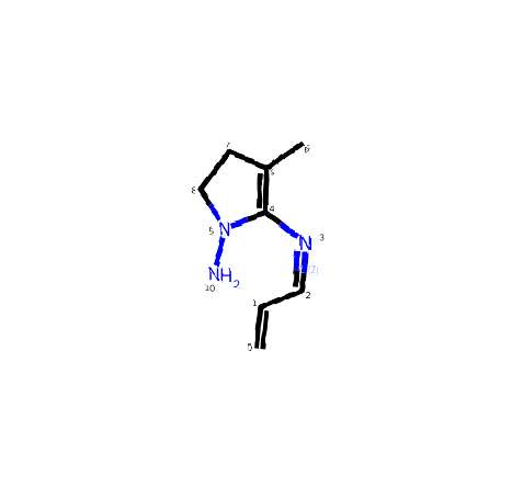 C=C/C=N\C1=C(C)CCN1N